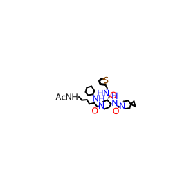 CC(=O)NCCCCC(NC1CCCCC1)C(=O)N1CC[C@@H](NC(=O)N2CCC3(CC2)CC3)[C@@H](C(=O)NCc2cccs2)C1